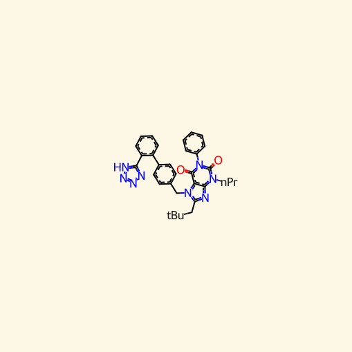 CCCn1c(=O)n(-c2ccccc2)c(=O)c2c1nc(CC(C)(C)C)n2Cc1ccc(-c2ccccc2-c2nnn[nH]2)cc1